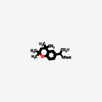 CCCCC[C@H](C(=O)O)c1ccc2c(c1)C(C)(C)CC(C)(C)O2